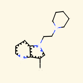 CCOC(=O)c1cn(CCN2CCCCC2)c2cccnc12